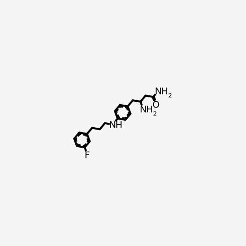 NC(=O)CC(N)Cc1ccc(NCCCc2cccc(F)c2)cc1